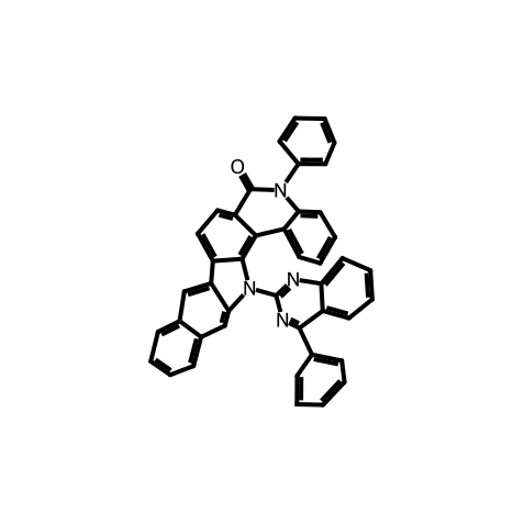 O=c1c2ccc3c4cc5ccccc5cc4n(-c4nc(-c5ccccc5)c5ccccc5n4)c3c2c2ccccc2n1-c1ccccc1